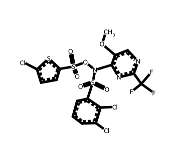 COc1cnc(C(F)(F)F)nc1N(OS(=O)(=O)c1ccc(Cl)s1)S(=O)(=O)c1cccc(Cl)c1Cl